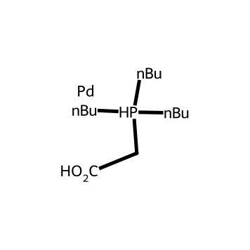 CCCC[PH](CCCC)(CCCC)CC(=O)O.[Pd]